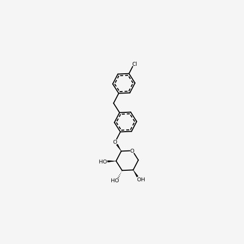 O[C@@H]1[C@@H](O)[C@@H](Oc2cccc(Cc3ccc(Cl)cc3)c2)OC[C@H]1O